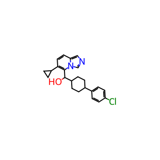 OC(c1c(C2CC2)ccc2cncn12)C1CCC(c2ccc(Cl)cc2)CC1